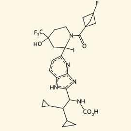 O=C(O)NC(c1nc2nc(C3(I)CC(O)(C(F)(F)F)CCN3C(=O)C34CC(F)(C3)C4)ccc2[nH]1)C(C1CC1)C1CC1